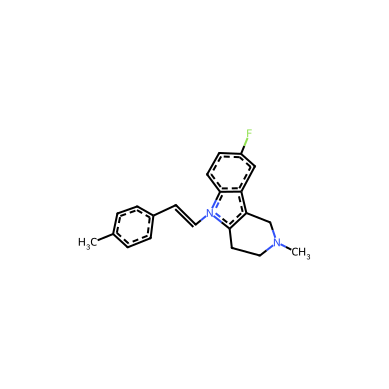 Cc1ccc(/C=C/n2c3c(c4cc(F)ccc42)CN(C)CC3)cc1